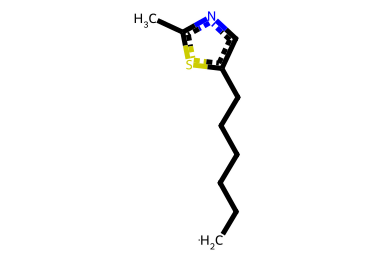 [CH2]CCCCCc1cnc(C)s1